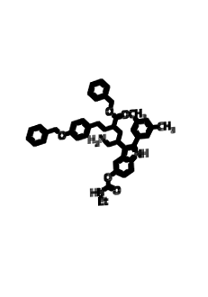 CCNC(=O)Oc1ccc2[nH]c(-c3cc(C)cc(C)c3)c(C(CN)CC(CCc3ccc(OCc4ccccc4)cc3)C(=O)OCc3ccccc3)c2c1